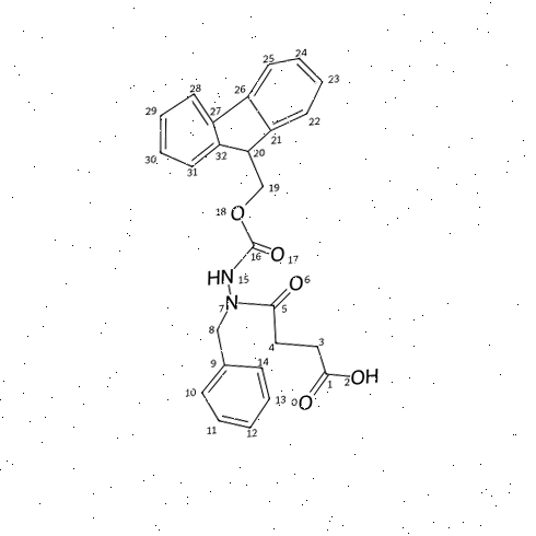 O=C(O)CCC(=O)N(Cc1ccccc1)NC(=O)OCC1c2ccccc2-c2ccccc21